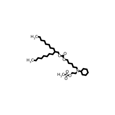 CCCCCCCCC(CCCCCCCC)COC(=O)OCCCCCN(CCOS(C)(=O)=O)C1CCCCC1